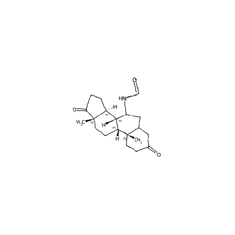 C[C@]12CCC(=O)CC1CC(NC=O)[C@@H]1[C@H]2CC[C@]2(C)C(=O)CC[C@@H]12